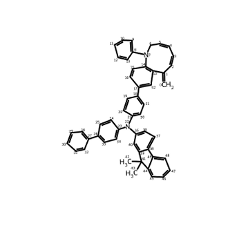 C=C1/C=C\C=C/CN(c2ccccc2)c2ccc(-c3ccc(N(c4ccc(-c5ccccc5)cc4)c4ccc5c(c4)C(C)(C)c4ccccc4-5)cc3)cc21